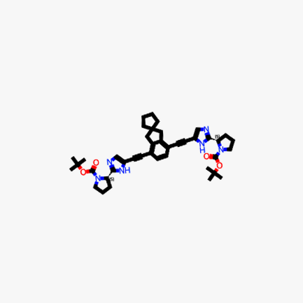 CC(C)(C)OC(=O)N1CCC[C@H]1c1ncc(C#Cc2ccc(C#Cc3cnc([C@@H]4CCCN4C(=O)OC(C)(C)C)[nH]3)c3c2CC2(CCCC2)C3)[nH]1